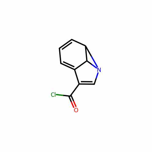 O=C(Cl)C1=CN2C3C=CC=C1C32